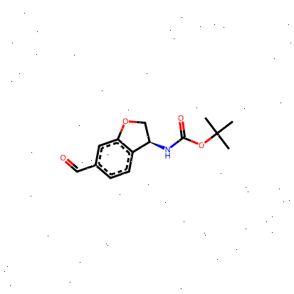 CC(C)(C)OC(=O)N[C@@H]1COc2cc(C=O)ccc21